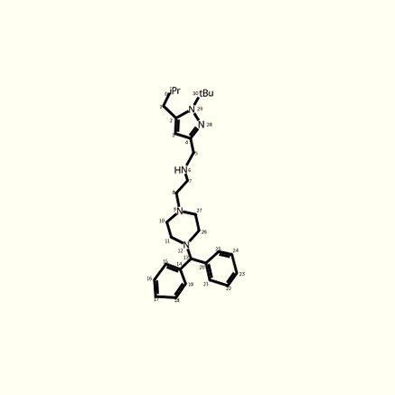 CC(C)Cc1cc(CNCCN2CCN(C(c3ccccc3)c3ccccc3)CC2)nn1C(C)(C)C